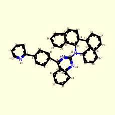 c1ccc(-c2ccc(-c3nc(N4c5c(ccc6ccccc56)-c5cccc6cccc4c56)nc4ccccc34)cc2)nc1